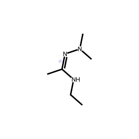 CCN/C(C)=N\N(C)C